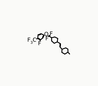 CC1CCC(/C=C/C2CCC(C(F)(F)Oc3ccc(C(F)(F)F)c(F)c3)CC2)CC1